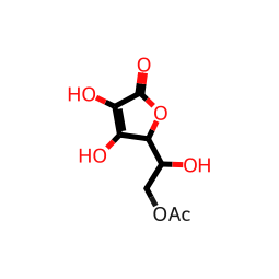 CC(=O)OCC(O)C1OC(=O)C(O)=C1O